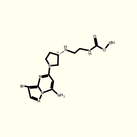 CC(C)(C)OC(=O)NCCN[C@H]1CCN(c2cc(N)n3ncc(Br)c3n2)C1